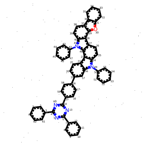 c1ccc(-c2nc(-c3ccccc3)nc(-c3ccc(-c4ccc5c6c(ccc7c8c9oc%10ccccc%10c9ccc8n(-c8ccccc8)c76)n(-c6ccccc6)c5c4)cc3)n2)cc1